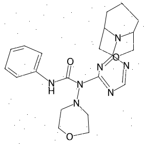 O=C(Nc1ccccc1)N(c1ncnc(N2C3CCCC2COC3)n1)N1CCOCC1